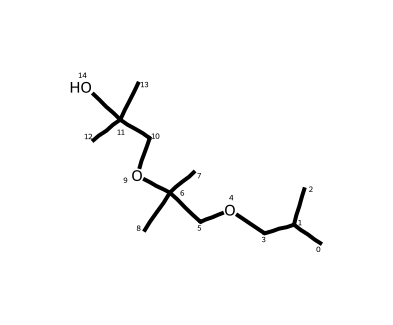 CC(C)COCC(C)(C)OCC(C)(C)O